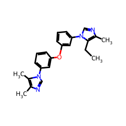 CCc1c(C)ncn1-c1cccc(Oc2cccc(-n3cnc(C)c3C)c2)c1